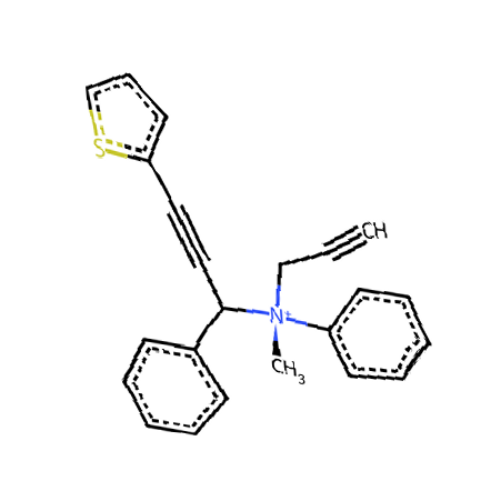 C#CC[N@+](C)(c1ccccc1)C(C#Cc1cccs1)c1ccccc1